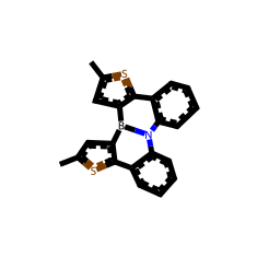 Cc1cc2c(s1)-c1ccccc1N1B2c2cc(C)sc2-c2ccccc21